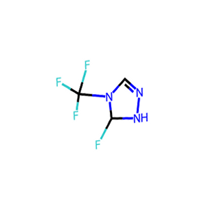 FC1NN=CN1C(F)(F)F